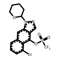 CCc1cccc2cc3c(cnn3C3CCCCO3)c(OS(=O)(=O)C(F)(F)F)c12